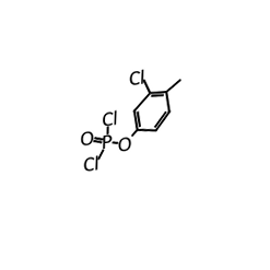 Cc1ccc(OP(=O)(Cl)Cl)cc1Cl